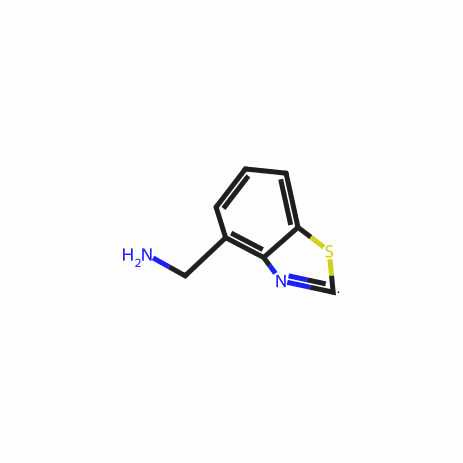 NCc1cccc2s[c]nc12